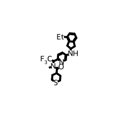 CCc1cccc2c1CC(Nc1ccc(C(N(C)C(=O)C3CCSCC3)C(F)(F)F)nc1)C2